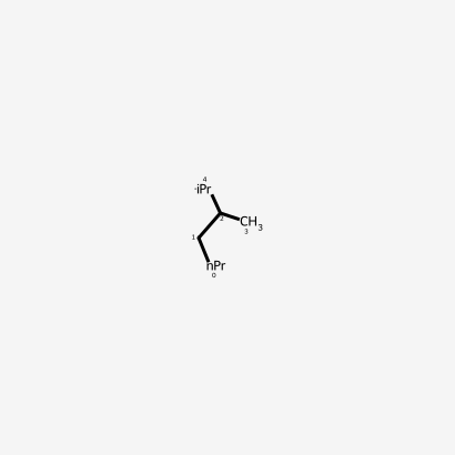 CCCCC(C)[C](C)C